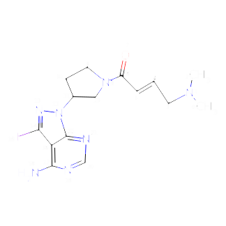 CN(C)CC=CC(=O)N1CCC(n2nc(I)c3c(N)ncnc32)C1